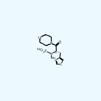 CC(C)(C)N(C(=O)O)[C@@H](Cc1cscn1)C(=O)N1CCOCC1